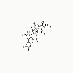 CC(C)(F)C(=O)N1C[C@@H]2CCN(C(=O)C[C@@H](N)C(CS(=O)(=O)O)c3cc(F)c(F)cc3F)[C@@H]2C1